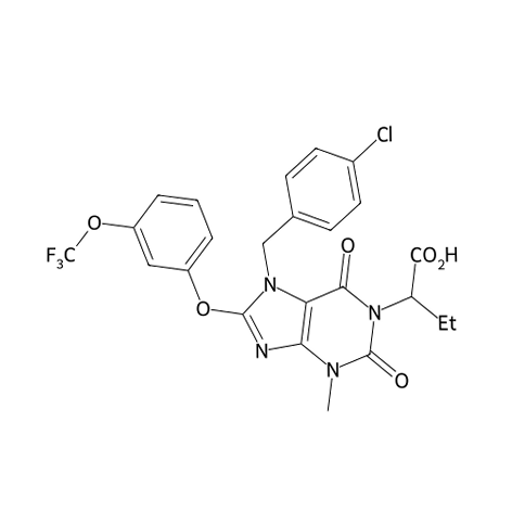 CCC(C(=O)O)n1c(=O)c2c(nc(Oc3cccc(OC(F)(F)F)c3)n2Cc2ccc(Cl)cc2)n(C)c1=O